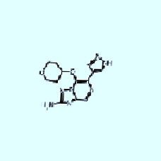 Nc1nc2cnc(-c3cn[nH]c3)c(OC3CCOCC3)n2n1